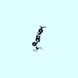 CC(C)COc1ccccc1CN1CCC2(CC1)CCN(C(=O)Cc1ccc(C(=O)O)cc1)CC2